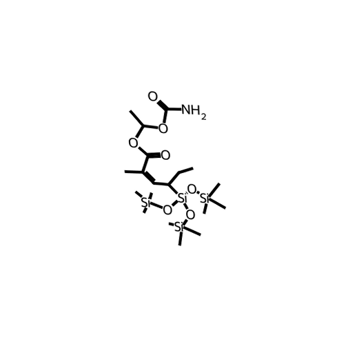 CCC(C=C(C)C(=O)OC(C)OC(N)=O)[Si](O[Si](C)(C)C)(O[Si](C)(C)C)O[Si](C)(C)C